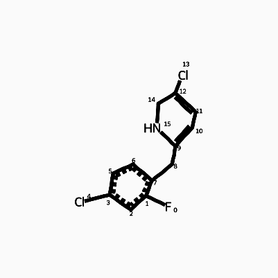 Fc1cc(Cl)ccc1CC1=CC=C(Cl)CN1